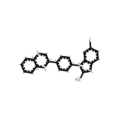 Cc1nc2ccc(F)cc2n1-c1ccc(-c2cnc3ccccc3n2)cc1